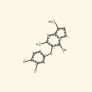 Cc1nc2c(C(=O)O)cnn2c(O)c1Cc1ccc(Cl)c(Cl)c1